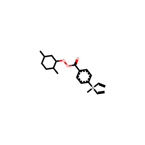 C=C[Si](C)(C=C)c1ccc(C(=O)OO[C]2CC(C)CCC2C)cc1